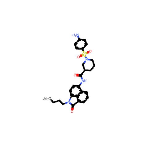 COCCCN1C(=O)c2cccc3c(NC(=O)C4CCCN(S(=O)(=O)c5ccc(N)cc5)C4)ccc1c23